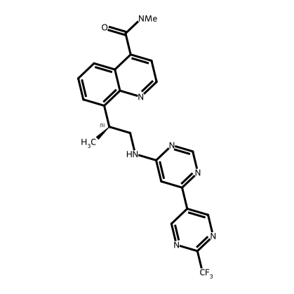 CNC(=O)c1ccnc2c([C@H](C)CNc3cc(-c4cnc(C(F)(F)F)nc4)ncn3)cccc12